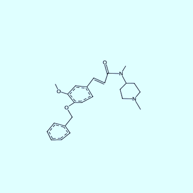 COc1cc(C=CC(=O)N(C)C2CCN(C)CC2)ccc1OCc1ccccc1